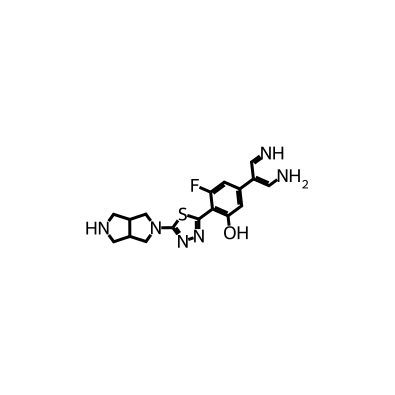 N=C/C(=C\N)c1cc(O)c(-c2nnc(N3CC4CNCC4C3)s2)c(F)c1